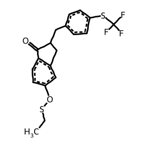 CCSOc1ccc2c(c1)CC(Cc1ccc(SC(F)(F)F)cc1)C2=O